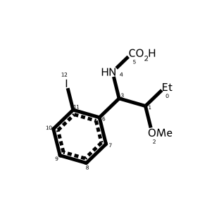 CCC(OC)C(NC(=O)O)c1ccccc1I